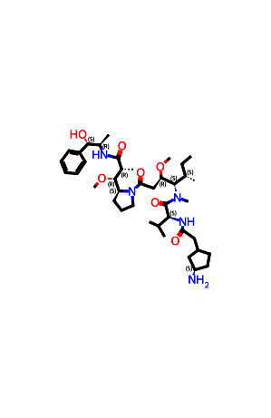 CC[C@H](C)[C@@H]([C@@H](CC(=O)N1CCC[C@H]1[C@H](OC)[C@@H](C)C(=O)N[C@H](C)[C@@H](O)c1ccccc1)OC)N(C)C(=O)[C@@H](NC(=O)CC1CC[C@H](N)C1)C(C)C